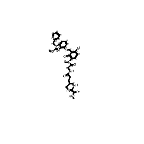 CNC(=O)C1=NCC(CCC(=O)NCC(=O)N(C)c2ccc(Cl)c(COc3cccc4c3nc(OC)n4Cc3ccccn3)c2Cl)CN1